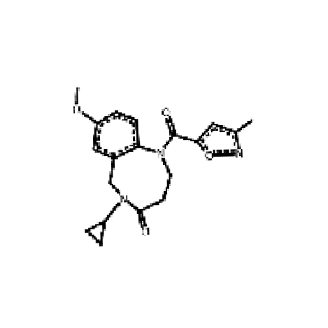 COc1ccc2c(c1)CN(C1CC1)C(=O)CCN2C(=O)c1cc(C)no1